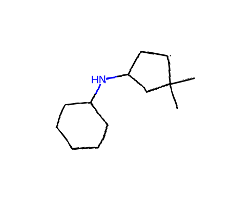 CC1(C)[CH]CC(NC2CCCCC2)C1